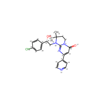 CC1(C)CCn2c(nc(-c3ccncc3)cc2=O)N1C[C@@H](O)c1ccc(Cl)cc1